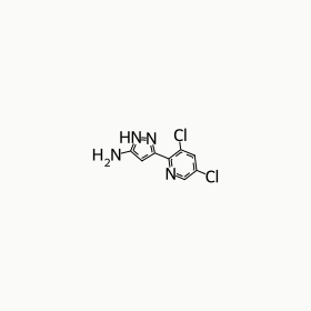 Nc1cc(-c2ncc(Cl)cc2Cl)n[nH]1